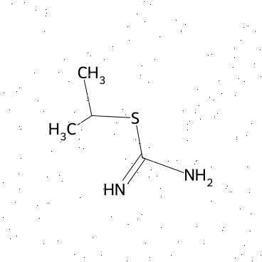 CC(C)SC(=N)N